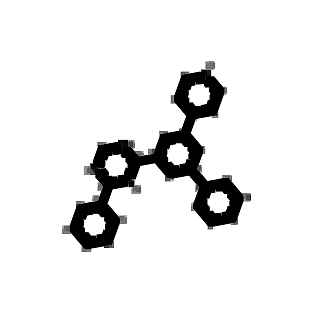 c1ccc(-c2cc(-c3ccncc3)cc(-c3ncnc(-c4ccccc4)n3)c2)cc1